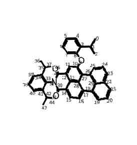 CC(C)c1ccccc1Oc1cc2c3c(ccc4c5cccc6cccc(c1c34)c65)C(=O)N(c1c(C(C)C)cccc1C(C)C)C2=O